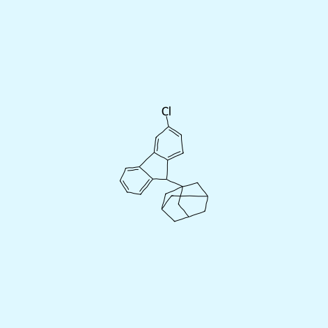 Clc1ccc2c(c1)-c1ccccc1C2C12CC3CC(CC(C3)C1)C2